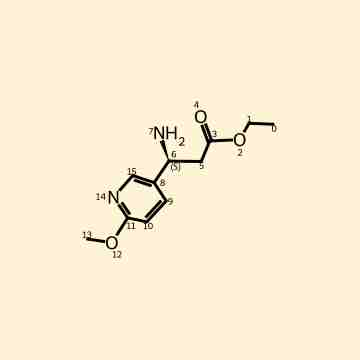 CCOC(=O)C[C@H](N)c1ccc(OC)nc1